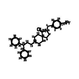 CC(C)c1ccc(CN2CCC3(CCN(CCC(c4ccccc4)c4ccccc4)CC3)C2=O)cc1